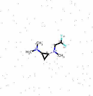 CN(C)C1C[C@H]1N(C)CC(F)F